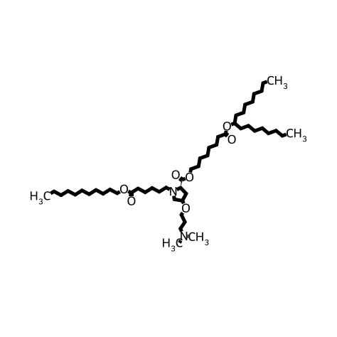 CCCCCCCCCCCOC(=O)CCCCCN1CC(OCCCN(C)C)C[C@H]1C(=O)OCCCCCCCC(=O)OC(CCCCCCCC)CCCCCCCC